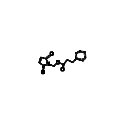 O=C(CCc1ccccc1)OCN1C(=O)C=CC1=O